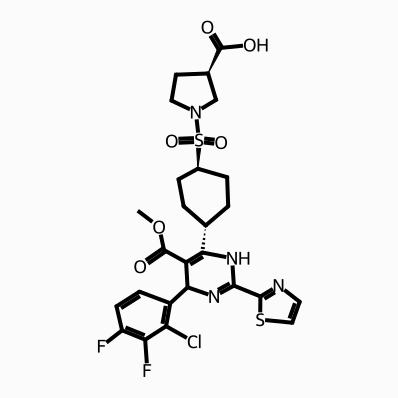 COC(=O)C1=C([C@H]2CC[C@H](S(=O)(=O)N3CC[C@@H](C(=O)O)C3)CC2)NC(c2nccs2)=NC1c1ccc(F)c(F)c1Cl